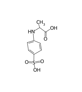 CC(Nc1ccc(S(=O)(=O)O)cc1)C(=O)O